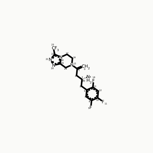 C=C(C[C@H](N)Cc1cc(F)c(F)cc1F)N1CCn2c(nnc2C(F)(F)F)C1